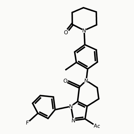 CC(=O)c1nn(-c2cccc(F)c2)c2c1CCN(c1ccc(N3CCCCC3=O)cc1C)C2=O